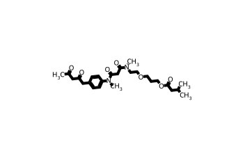 CC(=O)CC(=O)Cc1ccc(N(C)C(=O)CC(=O)N(C)CCOCCCOC(=O)CC(C)C)cc1